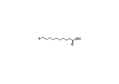 O=C(O)CCCCCCCCCF